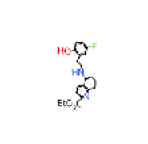 CCOC(=O)c1ccc2c(n1)CCCC2NCCc1cc(F)ccc1O